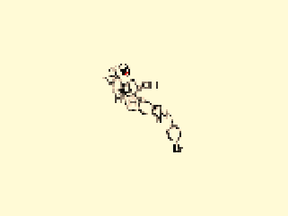 C[C@@H]1C[C@H]2[C@@H]3CCC4=Cc5nn(Cc6ccc(Br)cc6)cc5C[C@]4(C)[C@@]3(Cl)[C@@H](O)C[C@]2(C)[C@]12OCOC21COCO1